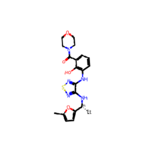 CC[C@@H](Nc1nsnc1Nc1cccc(C(=O)N2CCOCC2)c1O)c1ccc(C)o1